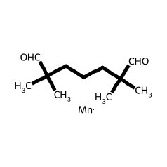 CC(C)(C=O)CCCC(C)(C)C=O.[Mn]